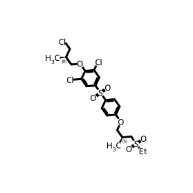 CCS(=O)(=O)C[C@@H](C)COc1ccc(S(=O)(=O)c2cc(Cl)c(OC[C@@H](C)CCl)c(Cl)c2)cc1